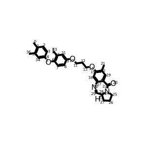 Cc1ccc(Oc2ccc(OCCCOc3cc4c(cc3C)C(=O)N3CCC[C@H]3C=N4)cc2I)cc1C